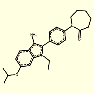 CCn1c(-c2ccc(N3CCCCCC3=O)cc2)c(N)c2ccc(OC(C)C)cc21